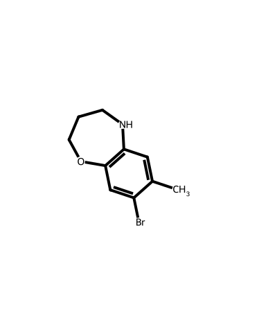 Cc1cc2c(cc1Br)OCCCN2